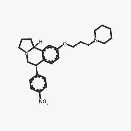 O=[N+]([O-])c1ccc([C@H]2CN3CCC[C@@H]3c3cc(OCCCN4CCCCC4)ccc32)cc1